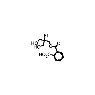 CCC(CO)(CO)COC(=O)c1ccccc1C(=O)O